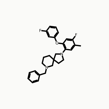 Cc1cc(N2CCC3(CCCN(Cc4ccccc4)C3)C2)c(Oc2cccc(F)c2)cc1F